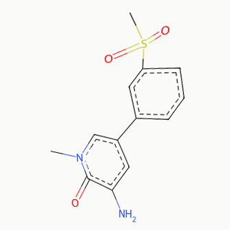 Cn1cc(-c2cccc(S(C)(=O)=O)c2)cc(N)c1=O